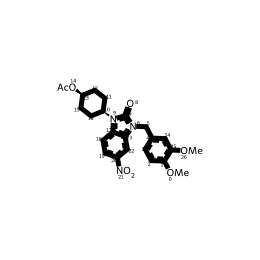 COc1ccc(Cn2c(=O)n([C@H]3CC[C@H](OC(C)=O)CC3)c3ccc([N+](=O)[O-])cc32)cc1OC